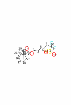 O=C(OCCCCCC(F)(F)[SH](=O)=O)C12CC3CC(CC(C3)C1)C2